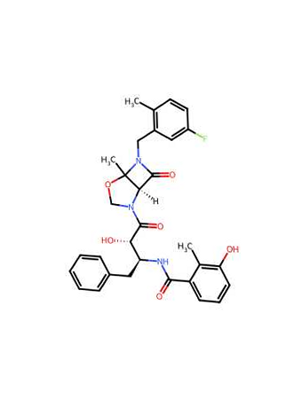 Cc1ccc(F)cc1CN1C(=O)[C@H]2N(C(=O)[C@@H](O)[C@H](Cc3ccccc3)NC(=O)c3cccc(O)c3C)COC21C